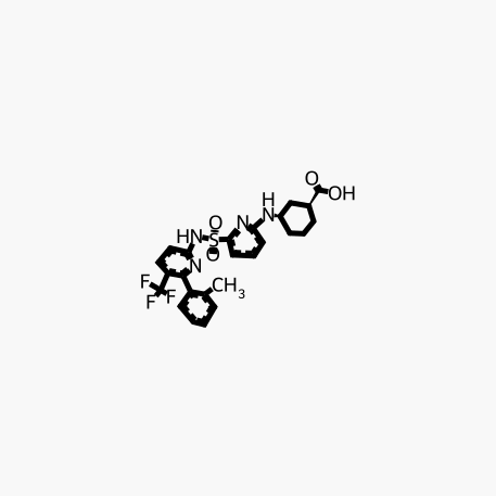 Cc1ccccc1-c1nc(NS(=O)(=O)c2cccc(N[C@@H]3CCC[C@H](C(=O)O)C3)n2)ccc1C(F)(F)F